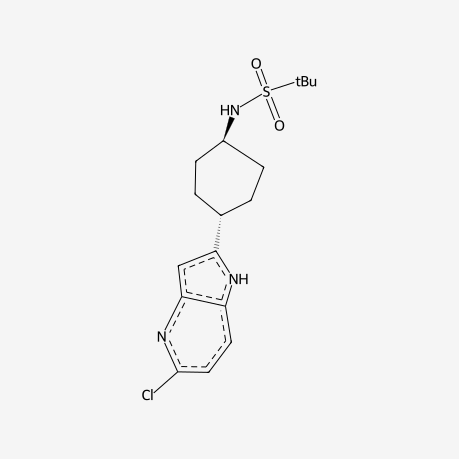 CC(C)(C)S(=O)(=O)N[C@H]1CC[C@H](c2cc3nc(Cl)ccc3[nH]2)CC1